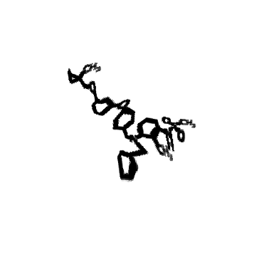 Cc1c(NS(C)(=O)=O)cccc1N(Cc1ccccc1)Cc1ccc(Oc2cccc(OCC3(C)CC3)c2)cc1